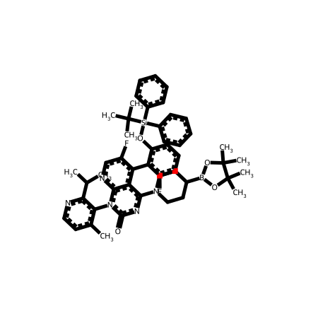 Cc1ccnc(C(C)C)c1-n1c(=O)nc(N2CCC(B3OC(C)(C)C(C)(C)O3)CC2)c2c(-c3c(F)cccc3O[Si](c3ccccc3)(c3ccccc3)C(C)(C)C)c(F)cnc21